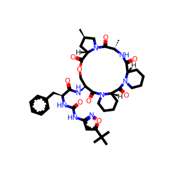 C[C@@H]1C[C@H]2C(=O)OC[C@H](NC(=O)[C@H](Cc3ccccc3)NC(=O)Nc3cc(C(C)(C)C)on3)C(=O)N3CCCC[C@H]3C(=O)N3CCCC[C@H]3C(=O)N[C@@H](C)C(=O)N2C1